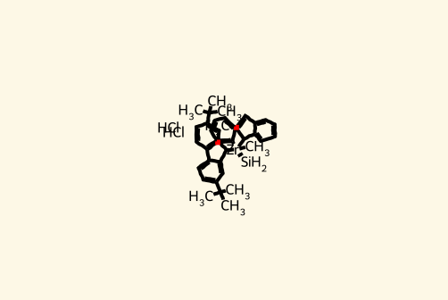 CC1=Cc2ccccc2[CH]1[Zr]([CH3])(=[SiH2])([c]1ccccc1)[CH]1c2cc(C(C)(C)C)ccc2-c2ccc(C(C)(C)C)cc21.Cl.Cl